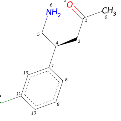 CC(=O)C[C@H](CN)c1cccc(Br)c1